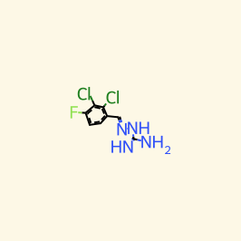 N=C(N)N/N=C/c1ccc(F)c(Cl)c1Cl